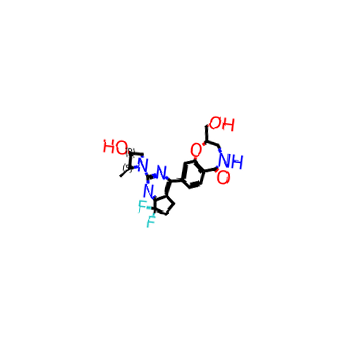 C[C@H]1[C@H](O)CN1c1nc(-c2ccc3c(c2)OC(CO)CNC3=O)c2c(n1)C(F)(F)CC2